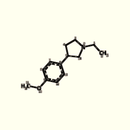 CCN1CCC(c2ccc(OC)cc2)C1